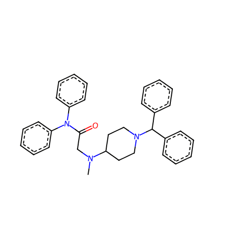 CN(CC(=O)N(c1ccccc1)c1ccccc1)C1CCN(C(c2ccccc2)c2ccccc2)CC1